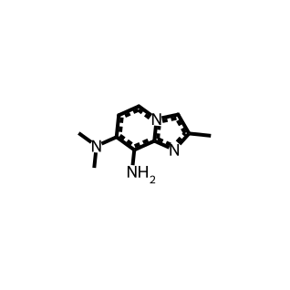 Cc1cn2ccc(N(C)C)c(N)c2n1